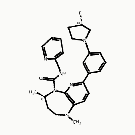 C[C@@H]1CCN(C)c2ccc(-c3cccc(N4CC[C@H](F)C4)c3)nc2N1C(=O)Nc1ccccn1